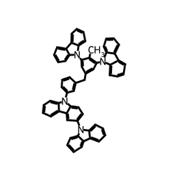 Cc1c(-n2c3ccccc3c3ccccc32)cc(Cc2cccc(-n3c4ccccc4c4cc(-n5c6ccccc6c6ccccc65)ccc43)c2)cc1-n1c2ccccc2c2ccccc21